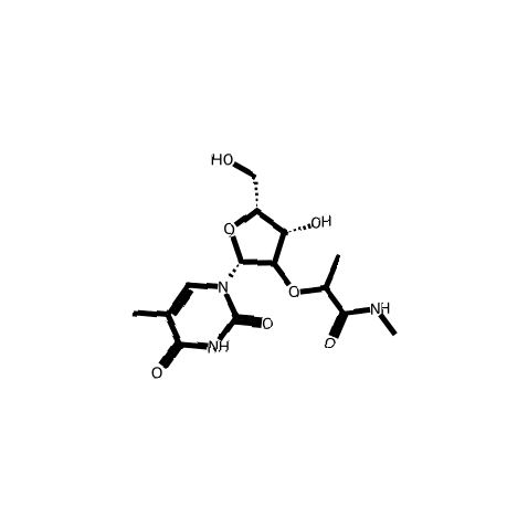 CNC(=O)C(C)OC1[C@@H](O)[C@@H](CO)O[C@H]1n1cc(C)c(=O)[nH]c1=O